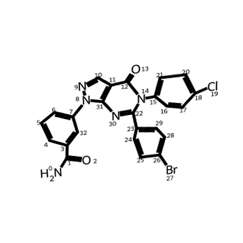 NC(=O)c1cccc(-n2ncc3c(=O)n(-c4ccc(Cl)cc4)c(-c4ccc(Br)cc4)nc32)c1